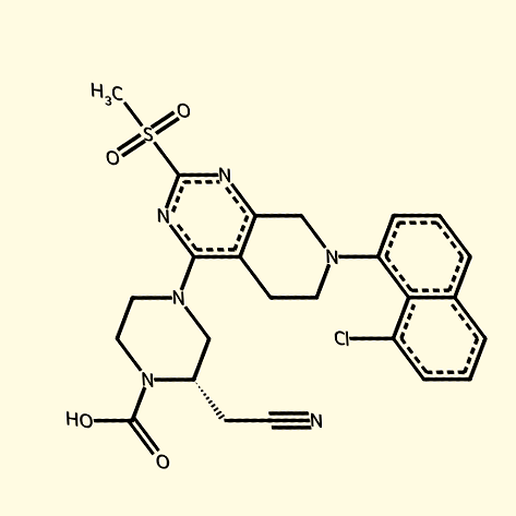 CS(=O)(=O)c1nc2c(c(N3CCN(C(=O)O)[C@@H](CC#N)C3)n1)CCN(c1cccc3cccc(Cl)c13)C2